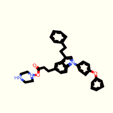 O=C(CCc1ccc2c(c1)c(CCc1ccccc1)cn2-c1ccc(Oc2ccccc2)cc1)ON1CCNCC1